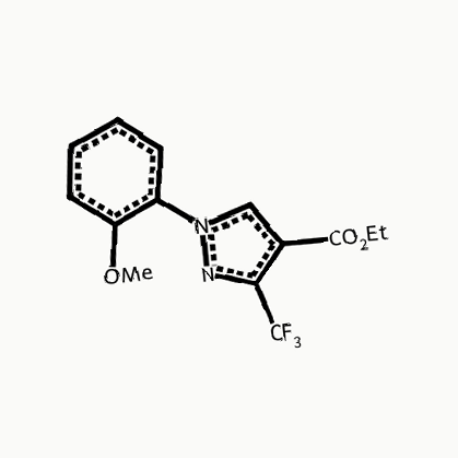 CCOC(=O)c1cn(-c2ccccc2OC)nc1C(F)(F)F